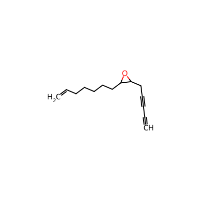 C#CC#CCC1OC1CCCCCC=C